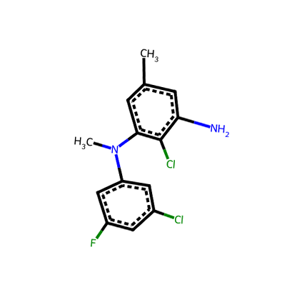 Cc1cc(N)c(Cl)c(N(C)c2cc(F)cc(Cl)c2)c1